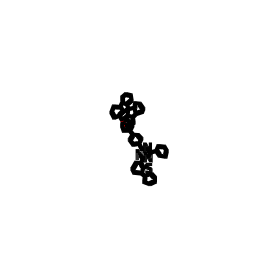 c1ccc(-c2nc(-c3ccc(-c4ccc(-c5cccc6c5C5(c7ccccc7-c7ccccc75)c5ccccc5-6)cc4)cc3)nc(-c3cccc4c3sc3ccccc34)n2)cc1